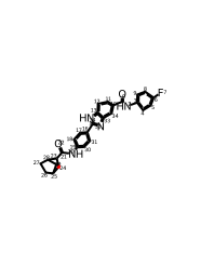 O=C(Nc1ccc(F)cc1)c1ccc2[nH]c(-c3ccc(NC(=O)C4CC5CCC4C5)cc3)nc2c1